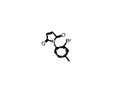 Cc1ccc(N2C(=O)C=CC2=O)c(Br)c1